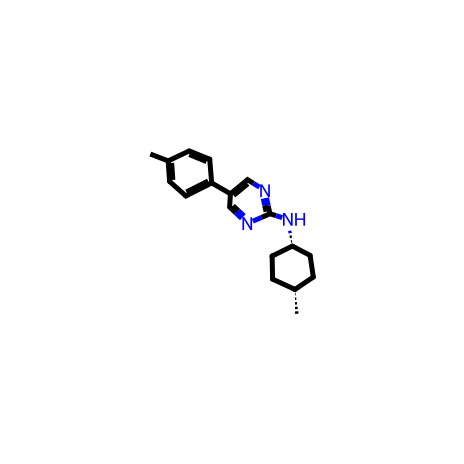 Cc1ccc(-c2cnc(N[C@H]3CC[C@@H](C)CC3)nc2)cc1